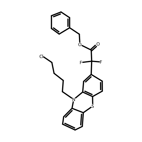 O=C(OCc1ccccc1)C(F)(F)c1ccc2c(c1)N(CCCCCl)c1ccccc1S2